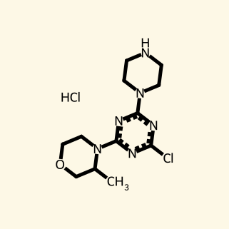 CC1COCCN1c1nc(Cl)nc(N2CCNCC2)n1.Cl